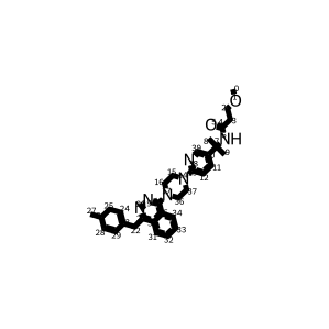 COCCC(=O)NC(C)(C)c1ccc(N2CCN(c3nnc(CC4=CCC(C)C=C4)c4ccccc34)CC2)nc1